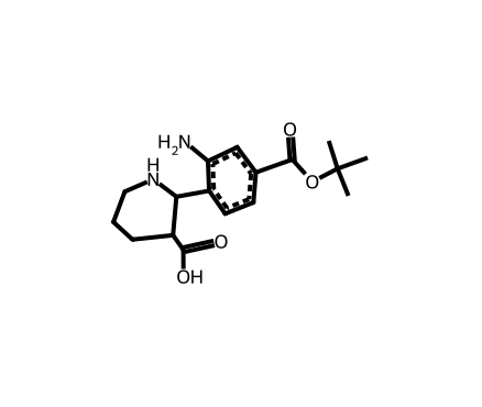 CC(C)(C)OC(=O)c1ccc(C2NCCCC2C(=O)O)c(N)c1